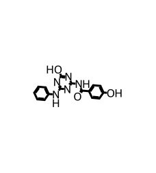 O=C(Nc1nc(O)nc(Nc2ccccc2)n1)c1ccc(O)cc1